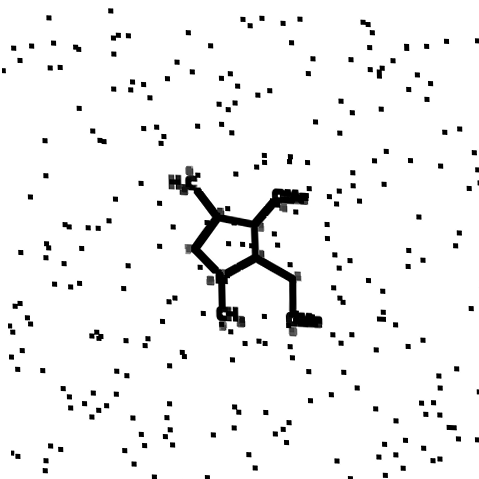 COCC1C(OC)C(C)CN1C